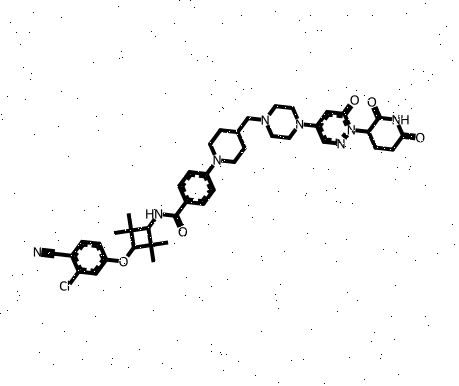 CC1(C)C(NC(=O)c2ccc(N3CCC(CN4CCN(c5cnn(C6CCC(=O)NC6=O)c(=O)c5)CC4)CC3)cc2)C(C)(C)C1Oc1ccc(C#N)c(Cl)c1